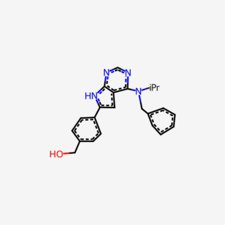 CC(C)N(Cc1ccccc1)c1ncnc2[nH]c(-c3ccc(CO)cc3)cc12